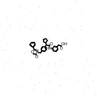 O=C(O)Cc1cccc(NC(=O)C(c2ccc(CN3N=C(c4ccccc4)OCC3=O)cc2)C2CCCC2)c1